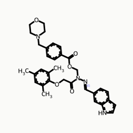 Cc1cc(C)c(OCC(=O)N(COC(=O)c2ccc(CN3CCOCC3)cc2)/N=C/c2ccc3cc[nH]c3c2)c(C)c1